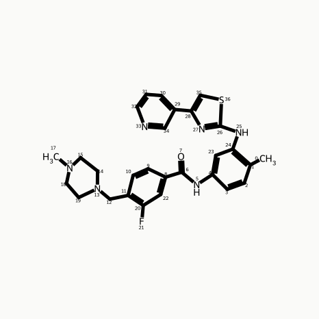 Cc1ccc(NC(=O)c2ccc(CN3CCN(C)CC3)c(F)c2)cc1Nc1nc(-c2cccnc2)cs1